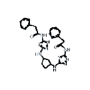 O=C(Cc1ccccc1)Nc1nnc(NC2CCC(Nc3nnc(NC(=O)Cc4ccccc4)s3)C2)s1